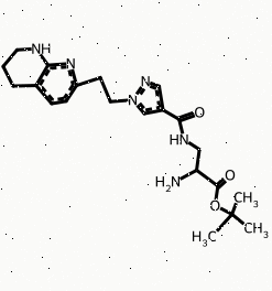 CC(C)(C)OC(=O)C(N)CNC(=O)c1cnn(CCc2ccc3c(n2)NCCC3)c1